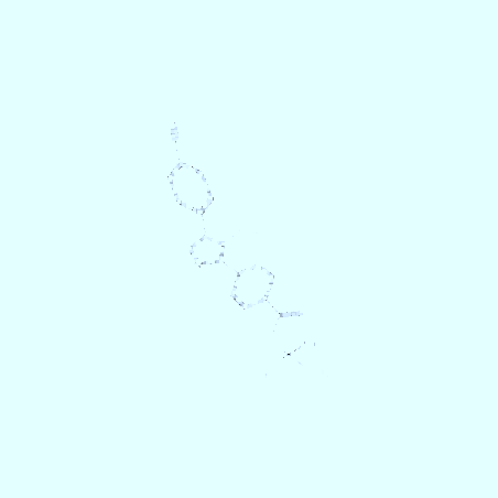 COc1c(-c2ccc(C#N)cc2)cnn1-c1ccc(C(=O)OC(C)(C)C)cn1